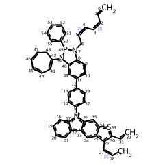 C=C/C=C\C=C/CN1c2ccc(-c3ccc(-n4c5ccccc5c5cc6c(/C=C\C)c(C=C)sc6cc54)cc3)cc2N(C2=CC=CC=CC2)P1c1ccccc1